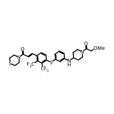 COCC(=O)N1CCC(Nc2cccc(Sc3ccc(/C=C/C(=O)N4CCSCC4)c(C(F)(F)F)c3C(F)(F)F)c2)CC1